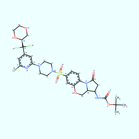 CC(C)(C)OC(=O)NC1CC(=O)N2c3ccc(S(=O)(=O)N4CCN(c5cc(C(F)(F)[C@@H]6COCCO6)cc(Cl)n5)CC4)cc3OCC12